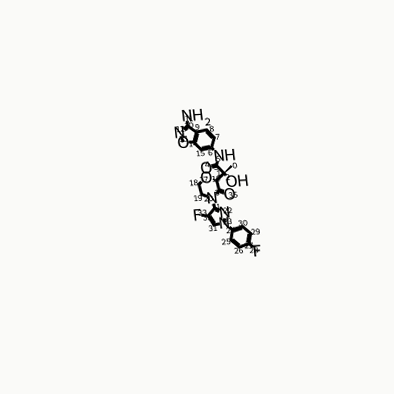 C[C@](O)(C(=O)Nc1ccc2c(N)noc2c1)[C@H]1OCCN(c2nn(-c3ccc(F)cc3)cc2F)C1=O